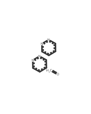 C=O.c1ccnnc1.c1ccnnc1